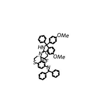 COc1ccc(C(NC2=N[C@@]3(CCSc4ccc(N=C(c5ccccc5)c5ccccc5)cc43)C(F)(F)CO2)(c2ccccc2)c2ccc(OC)cc2)cc1